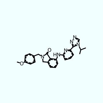 COc1ccc(CN2Cc3cccc(Nc4cccc(-c5nncn5C(C)C)n4)c3C2=O)cc1